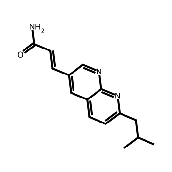 CC(C)Cc1ccc2cc(/C=C/C(N)=O)cnc2n1